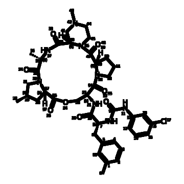 Cc1cccc(C[C@H](NC(=O)Nc2cccc(Cl)c2)C(=O)N[C@H]2COC(=O)[C@@H]3C[C@@H](C)CN3C(=O)[C@H](C)NC(=O)[C@@H]3CN(C)CCN3C(=O)[C@@H]3CCCN3C2=O)c1